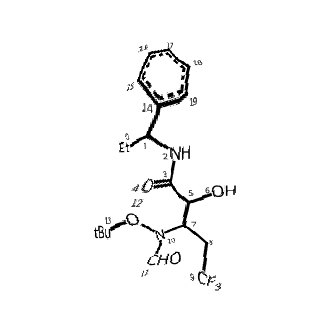 CCC(NC(=O)C(O)C(CC(F)(F)F)N(C=O)OC(C)(C)C)c1ccccc1